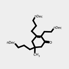 CCCCCCCCCCCCCC1=C(CCCCCCCCCCCC)C(=O)CC(C)(CCCCCCCCCCCCC)C1